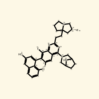 CCc1cccc2cc(O)cc(-c3c(F)cc4c(N5CC6CCC(C5)N6)nc(CCC56CCCN5C[C@H](F)C6)nc4c3F)c12